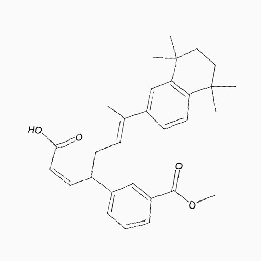 COC(=O)c1cccc(C(/C=C\C(=O)O)C/C=C(\C)c2ccc3c(c2)C(C)(C)CCC3(C)C)c1